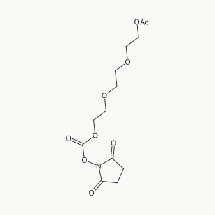 CC(=O)OCCOCCOCCOC(=O)ON1C(=O)CCC1=O